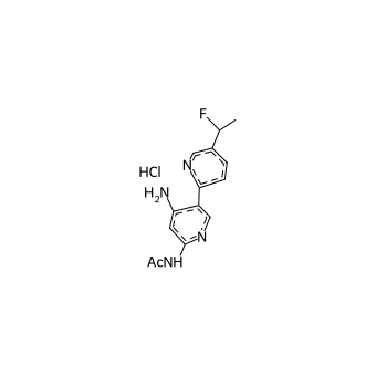 CC(=O)Nc1cc(N)c(-c2ccc(C(C)F)cn2)cn1.Cl